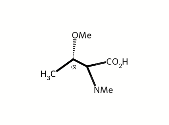 CNC(C(=O)O)[C@H](C)OC